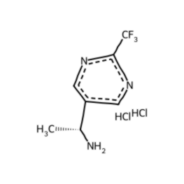 C[C@@H](N)c1cnc(C(F)(F)F)nc1.Cl.Cl